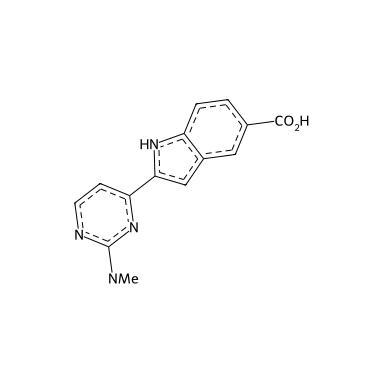 CNc1nccc(-c2cc3cc(C(=O)O)ccc3[nH]2)n1